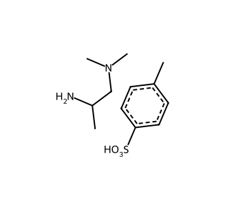 CC(N)CN(C)C.Cc1ccc(S(=O)(=O)O)cc1